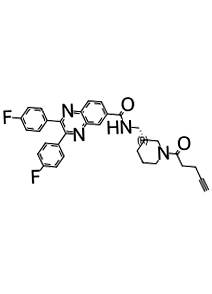 C#CCCC(=O)N1CCC[C@H](CNC(=O)c2ccc3nc(-c4ccc(F)cc4)c(-c4ccc(F)cc4)nc3c2)C1